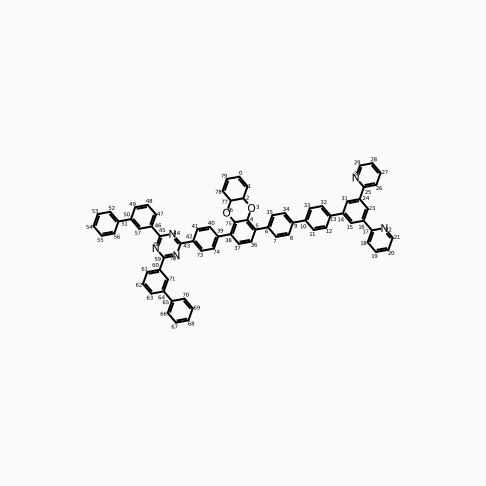 C1=CC2Oc3c(-c4ccc(-c5ccc(-c6cc(-c7ccccn7)cc(-c7ccccn7)c6)cc5)cc4)ccc(-c4ccc(-c5nc(-c6cccc(-c7ccccc7)c6)nc(-c6cccc(-c7ccccc7)c6)n5)cc4)c3OC2C=C1